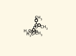 COc1cc(CC(=O)CC(c2ccc(C)cc2)c2ccc(C)cc2)cc(OC)c1OC